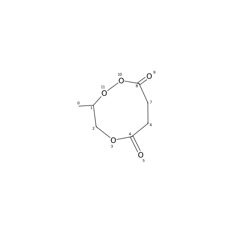 CC1COC(=O)CCC(=O)OO1